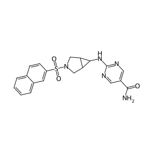 NC(=O)c1cnc(NC2C3CN(S(=O)(=O)c4ccc5ccccc5c4)CC32)nc1